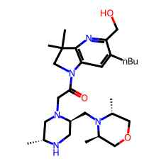 CCCCc1cc2c(nc1CO)C(C)(C)CN2C(=O)CN1C[C@@H](C)NC[C@@H]1CN1[C@H](C)COC[C@H]1C